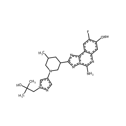 COc1cc2nc(N)n3nc(C4CC(C)CN(c5cnn(CC(C)(C)O)c5)C4)nc3c2cc1F